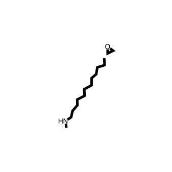 C1CO1.CCCCCCCCCCCCNC